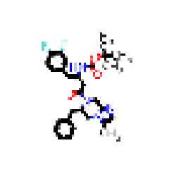 Cc1cnc2n1CC(Cc1ccccc1)N(C(=O)C[C@@H](Cc1ccc(F)c(F)c1)NC(=O)OC(C)(C)C)C2